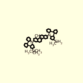 C[SiH2]c1ccc2c(c1)-c1ccccc1-c1ccccc1N2c1ccc2c(ccc3c2ccc2cc(N4c5ccccc5-c5ccccc5-c5cc([Si](C)(C)C)ccc54)cc(C)c23)c1